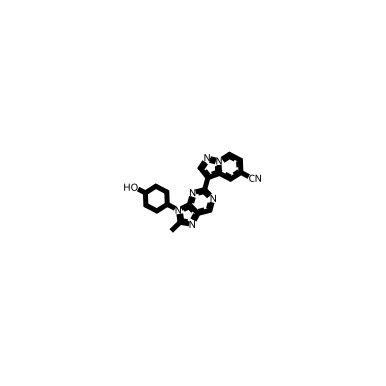 Cc1nc2cnc(-c3cnn4ccc(C#N)cc34)nc2n1C1CCC(O)CC1